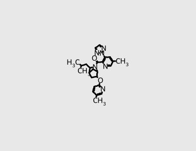 Cc1ccc(OC2CC3CC2N(C(=O)c2ncc(C)cc2-n2nccn2)C3CC(C)C)nc1